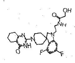 O=C(CO)NCCN1CC2(CCN(c3nc4c(c(=O)[nH]3)CCCC4)CC2)c2c(F)cc(F)cc21